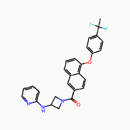 CC(F)(F)c1ccc(Oc2cccc3cc(C(=O)N4CC(Nc5ccccn5)C4)ccc23)cc1